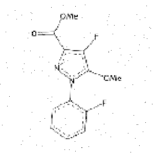 COC(=O)c1nn(-c2ccccc2F)c(OC)c1F